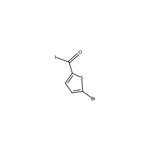 O=C(I)c1ccc(Br)s1